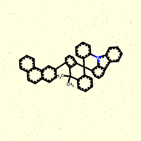 CC1(C)c2ccccc2C2(c3ccccc3-n3c4ccccc4c4cccc2c43)c2cccc(-c3ccc4ccc5ccccc5c4c3)c21